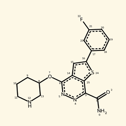 NC(=O)c1nnc(OC2CCCNC2)c2cc(-c3cccc(F)c3)sc12